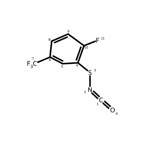 O=C=NSc1cc(C(F)(F)F)ccc1F